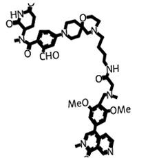 COc1cc(-c2cn(C)c(=O)c3cnccc23)cc(OC)c1CN(C)CC(=O)NCCCCN1CCOC2(CCN(c3ccc(C(=O)N(C)C4CCC(=O)NC4=O)c(C=O)c3)CC2)C1